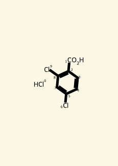 Cl.O=C(O)c1ccc(Cl)cc1Cl